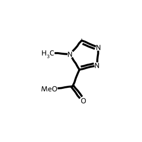 COC(=O)c1nn[c]n1C